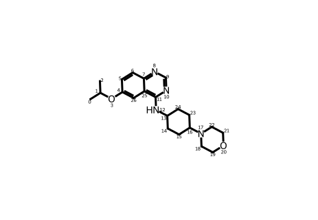 CC(C)Oc1ccc2ncnc(NC3CCC(N4CCOCC4)CC3)c2c1